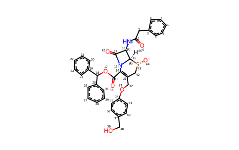 O=C(Cc1ccccc1)N[C@@H]1C(=O)N2C(C(=O)OC(c3ccccc3)c3ccccc3)=C(COc3ccc(CO)cc3)C[S+]([O-])[C@H]12